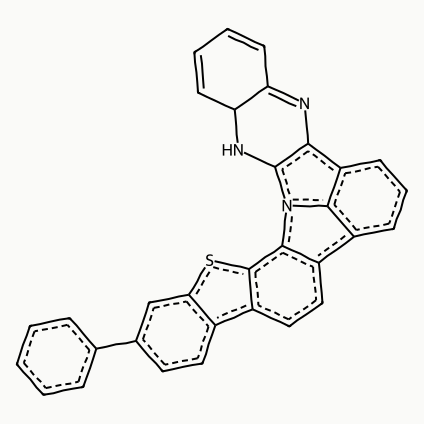 C1=CC2=Nc3c(n4c5c3cccc5c3ccc5c6ccc(-c7ccccc7)cc6sc5c34)NC2C=C1